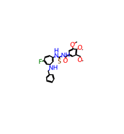 COCc1cc(C(=O)NC(=S)NC2=CC(NCc3ccccc3)C=C(F)C=C2)cc(OC)c1OC